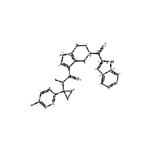 Cc1ccc(C2(N(C)C(=O)c3n[nH]c4c3CN(C(=O)c3cc5ccccc5[nH]3)CC4)CC2)nc1